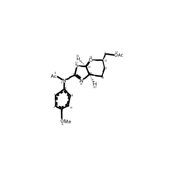 COc1ccc(N(C(C)=O)C2=N[C@@H]3[C][C][C@H](COC(C)=O)O[C@@H]3S2)cc1